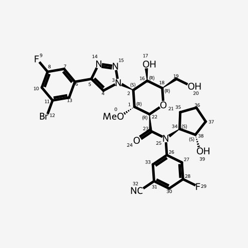 CO[C@@H]1[C@@H](n2cc(-c3cc(F)cc(Br)c3)nn2)[C@@H](O)[C@@H](CO)O[C@H]1C(=O)N(c1cc(F)cc(C#N)c1)[C@H]1CCC[C@@H]1O